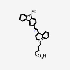 CCn1c2ccccc2c2cc(/C=C/c3cc[n+](CCCCS(=O)(=O)O)c4ccccc34)ccc21